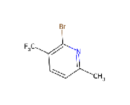 Cc1ccc(C(F)(F)F)c(Br)n1